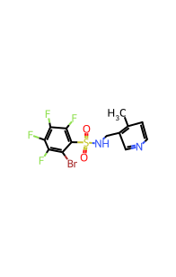 Cc1ccncc1CNS(=O)(=O)c1c(F)c(F)c(F)c(F)c1Br